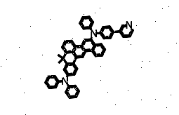 CC1(C)c2cc(N(c3ccccc3)c3ccccc3)ccc2-c2cc3c4ccccc4c(N(c4ccccc4)c4ccc(-c5cccnc5)cc4)cc3c3cccc1c23